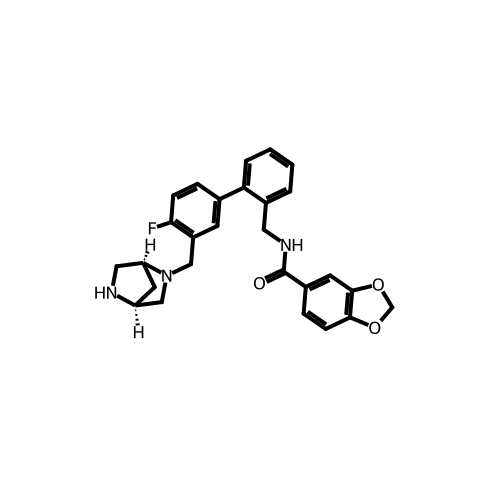 O=C(NCc1ccccc1-c1ccc(F)c(CN2C[C@@H]3C[C@H]2CN3)c1)c1ccc2c(c1)OCO2